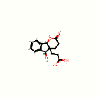 O=C(O)CCC12CCC(=O)OC1c1ccccc1C2=O